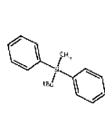 CC(C)(C)[Si](C)(c1ccccc1)c1ccccc1